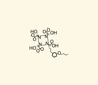 CCCCOc1cccc(CCC[C@@H](C(=O)O)N2CCN([C@@H](CO)C(=O)OC)CCN([C@@H](CO)C(=O)OC)CCN([C@@H](CO)C(=O)OC)CC2)c1